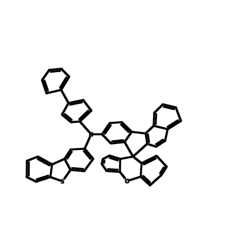 c1ccc(-c2ccc(N(c3ccc4c(c3)C3(c5ccccc5Oc5ccccc53)c3ccc5ccccc5c3-4)c3ccc4sc5ccccc5c4c3)cc2)cc1